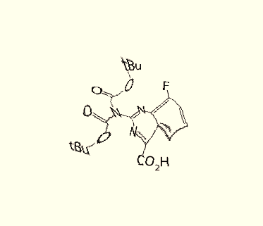 CC(C)(C)OC(=O)N(C(=O)OC(C)(C)C)c1nc(C(=O)O)c2cccc(F)c2n1